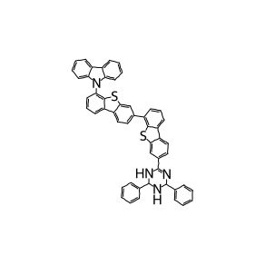 c1ccc(C2N=C(c3ccc4c(c3)sc3c(-c5ccc6c(c5)sc5c(-n7c8ccccc8c8ccccc87)cccc56)cccc34)NC(c3ccccc3)N2)cc1